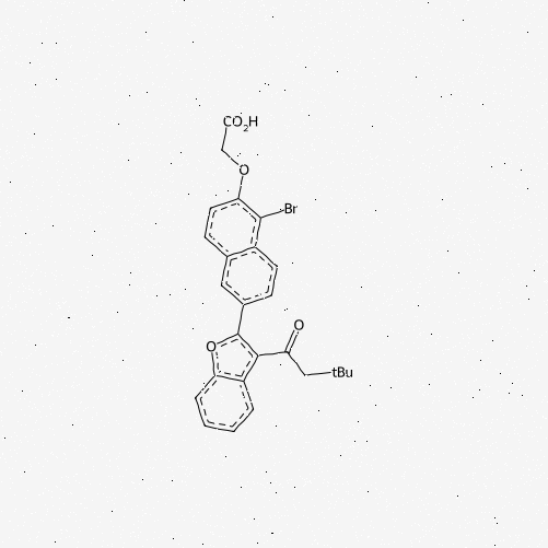 CC(C)(C)CC(=O)c1c(-c2ccc3c(Br)c(OCC(=O)O)ccc3c2)oc2ccccc12